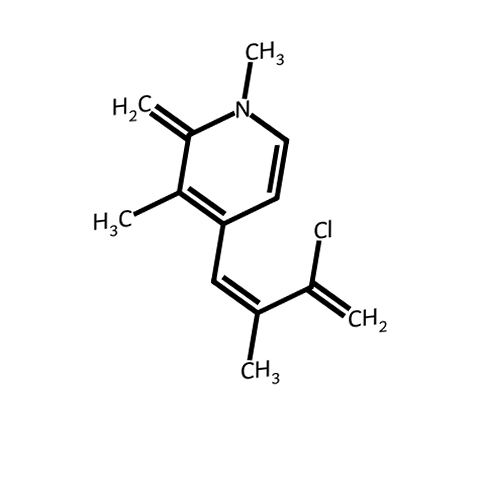 C=C(Cl)/C(C)=C\C1=C(C)C(=C)N(C)C=C1